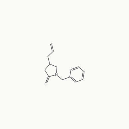 C=CCC1CC(=O)N(Cc2ccccc2)C1